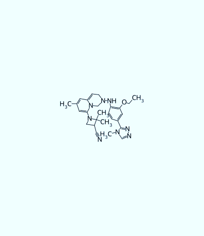 CCOc1cc(-c2nncn2C)ccc1NN1CC=C2C=C(C)C=C(N3CC(C#N)C3(C)C)N2C1